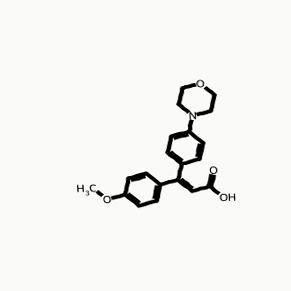 COc1ccc(C(=CC(=O)O)c2ccc(N3CCOCC3)cc2)cc1